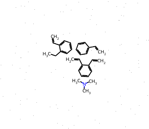 C=Cc1ccccc1.C=Cc1ccccc1C=C.C=Cc1ccccc1CC.CN(C)C